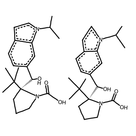 CC(C)n1ccc2ccc(C(O)[C@@]3(C(C)(C)C)CCCN3C(=O)O)cc21.CC(C)n1ccc2ccc(C(O)[C@@]3(C(C)(C)C)CCCN3C(=O)O)cc21